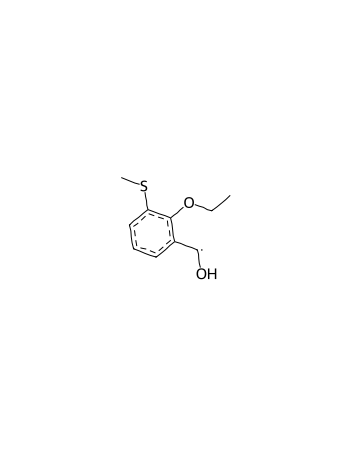 CCOc1c([CH]O)cccc1SC